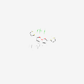 CC1=[C]([Zr]([CH3])([CH3])(=[SiH2])[C]2=C(C)C(c3cccs3)=CC2C)C(C)C=C1c1cccs1.Cl.Cl